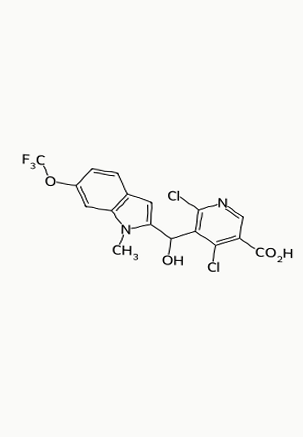 Cn1c(C(O)c2c(Cl)ncc(C(=O)O)c2Cl)cc2ccc(OC(F)(F)F)cc21